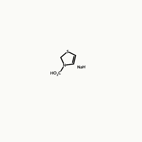 O=C(O)N1C=CSC1.[NaH]